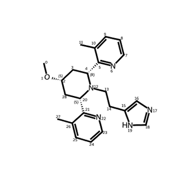 CO[C@@H]1C[C@H](c2ncccc2C)N(CCc2cnc[nH]2)[C@H](c2ncccc2C)C1